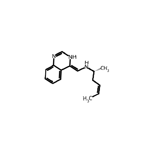 C/C=C\C[C@@H](C)N/C=C1\NC=Nc2ccccc21